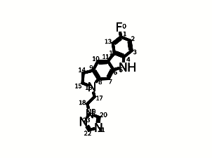 Fc1ccc2[nH]c3cc4c(cc3c2c1)CCN4CCn1cncn1